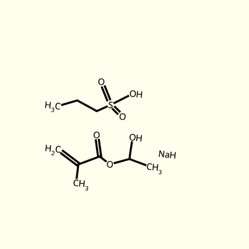 C=C(C)C(=O)OC(C)O.CCCS(=O)(=O)O.[NaH]